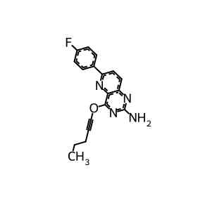 CCCC#COc1nc(N)nc2ccc(-c3ccc(F)cc3)nc12